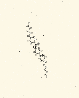 CCCCCCCc1ccc(-c2ccc(OC(=O)[C@H]3CC[C@H](CCCCCC)CC3)cc2)nc1